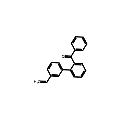 C=Cc1cccc(-c2ccccc2C(=O)c2ccccc2)c1